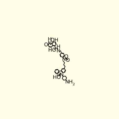 N[C@H]1CC[C@H](N(C(=O)O)c2ccc(CCCCn3c(=O)oc4cc(CNCC(O)c5ccc(O)c6[nH]c(=O)ccc56)ccc43)cc2-c2ccccc2)CC1